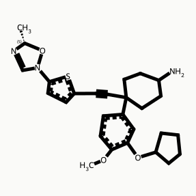 COc1ccc(C2(C#Cc3ccc(N4C=N[C@H](C)O4)s3)CCC(N)CC2)cc1OC1CCCC1